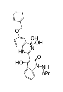 CCCNn1c(=O)c(C2=NS(O)(O)c3cc(OCc4ccccc4)ccc3N2)c(O)c2ccccc21